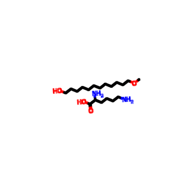 COCCCCCCCCCCCCO.NCCCCC(N)C(=O)O